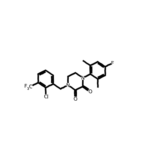 Cc1cc(F)cc(C)c1N1CCN(Cc2cccc(C(F)(F)F)c2Cl)C(=O)C1=O